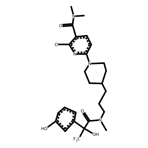 CN(C)C(=O)c1ccc(N2CCC(CCCN(C)C(=O)C(O)(c3cccc(O)c3)C(F)(F)F)CC2)nc1Cl